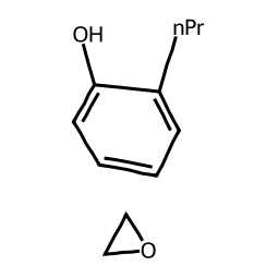 C1CO1.CCCc1ccccc1O